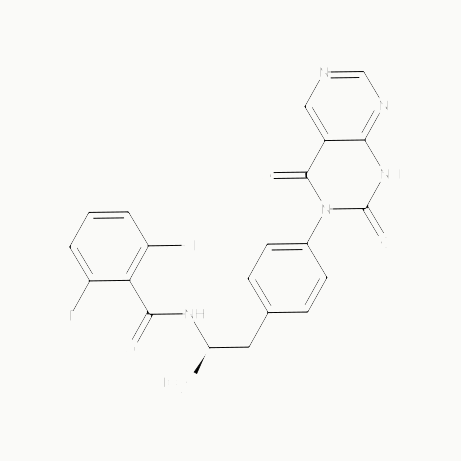 O=C(N[C@@H](Cc1ccc(-n2c(=O)[nH]c3ncncc3c2=O)cc1)C(=O)O)c1c(Cl)cccc1Cl